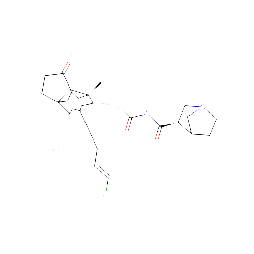 C[C@@H]1CCC23CCC(=O)C2[C@]1(C)[C@H](OC(=O)NC(=O)[C@H]1CN2CC[C@@H]1C2)C[C@@](C)(CC=CCl)[C@@H](O)[C@@H]3C